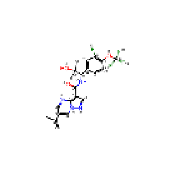 C=C(C)c1cnc2c(C(=O)NC(c3ccc(OC(F)(F)F)c(F)c3)C(C)(C)O)cnn2c1